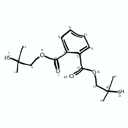 CC(C)(S)COC(=O)c1ccccc1C(=O)OCC(C)(C)S